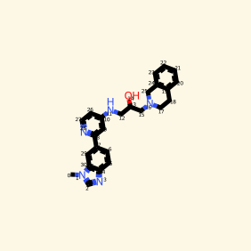 Cn1cnc2ccc(-c3cc(NCC(O)CN4CCc5ccccc5C4)ccn3)cc21